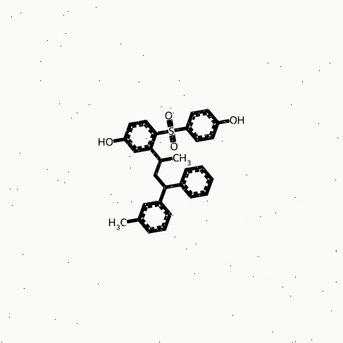 Cc1cccc(C(CC(C)c2cc(O)ccc2S(=O)(=O)c2ccc(O)cc2)c2ccccc2)c1